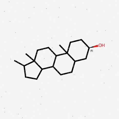 CC1CCC2C3CCC4C[C@H](O)CCC4(C)C3CCC12C